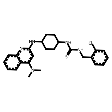 CN(C)c1cc(NC2CCC(NC(=S)NCc3ccccc3Cl)CC2)nc2ccccc12